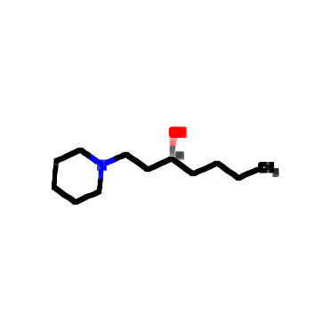 CCCC[C@@H](O)CCN1CCCCC1